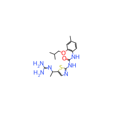 Cc1ccc(NC(=O)Nc2ncc(C(C)N=C(N)N)s2)c(OCC(C)C)c1